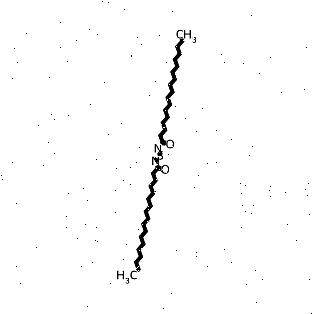 CCCCCCCCCCCCCCCCCC(=O)N=S=NC(=O)CCCCCCCCCCCCCCCCC